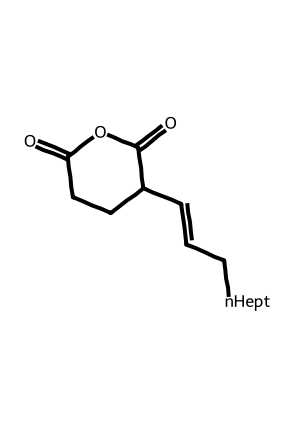 CCCCCCCC/C=C/C1CCC(=O)OC1=O